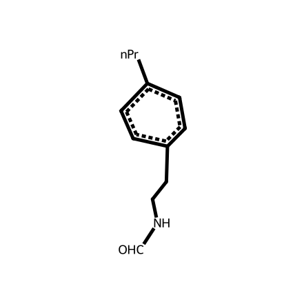 CCCc1ccc(CCNC=O)cc1